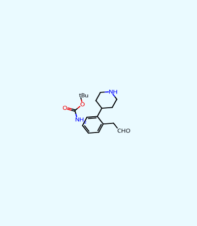 CC(C)(C)OC(N)=O.O=CCc1ccccc1C1CCNCC1